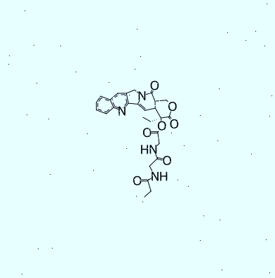 CCC(=O)NCC(=O)NCC(=O)O[C@]1(CC)C(=O)OCC2C(=O)N3Cc4cc5ccccc5nc4C3=CC21